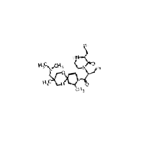 CC(C)CC(C(=O)N1CCC2(C[C@@H]1C)OCC(C)(CN(C)C)CO2)N1CCN[C@@H](CC(C)C)C1=O